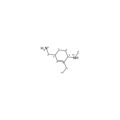 CCC1=CC(CN)CCC1NC